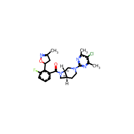 CC1=NOC(c2c(F)cccc2C(=O)N2C[C@H]3CCN(c4nc(C)c(Cl)c(C)n4)C[C@H]32)C1